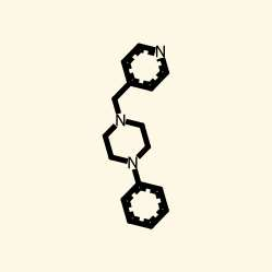 c1ccc(N2CCN(Cc3ccncc3)CC2)cc1